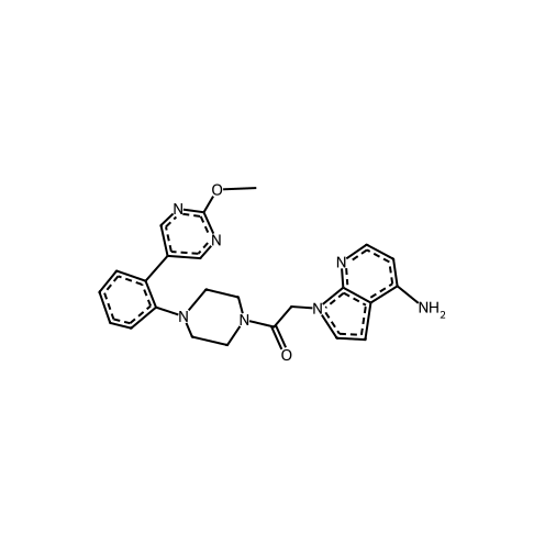 COc1ncc(-c2ccccc2N2CCN(C(=O)Cn3ccc4c(N)ccnc43)CC2)cn1